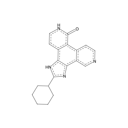 O=c1[nH]ccc2c3[nH]c(C4CCCCC4)nc3c3cnccc3c12